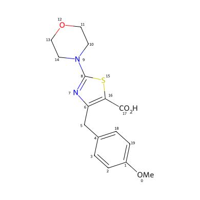 COc1ccc(Cc2nc(N3CCOCC3)sc2C(=O)O)cc1